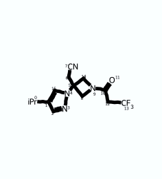 CC(C)c1cnn(C2(CC#N)CN(C(=O)CC(F)(F)F)C2)c1